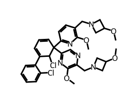 COc1nc(C2(c3cnc(CN4CC(OC)C4)c(OC)n3)C=CC=C(c3ccccc3Cl)C2Cl)ccc1CN1CC(OC)C1